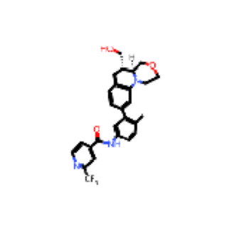 Cc1ccc(NC(=O)c2ccnc(C(F)(F)F)c2)cc1-c1ccc2c(c1)N1CCOC[C@@H]1[C@@H](CO)C2